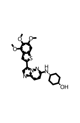 COc1cc2sc(-c3cnc4ccc(N[C@H]5CC[C@H](O)CC5)nn34)cc2c(OC)c1OC